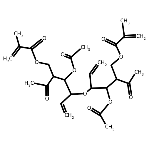 C=CC(OC(C=C)C(OC(C)=O)C(COC(=O)C(=C)C)C(C)=O)C(OC(C)=O)C(COC(=O)C(=C)C)C(C)=O